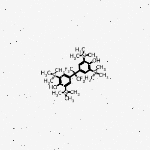 C[Si](C)(C)c1cc(C(c2cc([Si](C)(C)C)c(O)c([Si](C)(C)C)c2)(C(F)(F)F)C(F)(F)F)cc([Si](C)(C)C)c1O